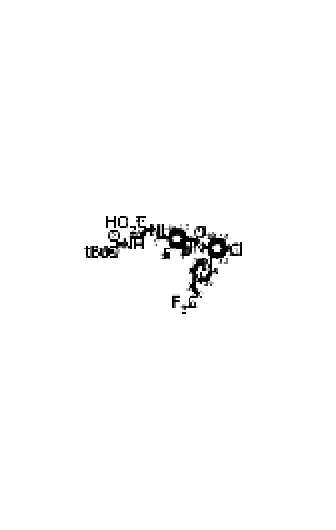 CC(C)(C)OC(=O)NCC[C@H](NCc1ccc(C(=O)Nc2ccc(Cl)cc2N2CCN(CCC(F)(F)F)CC2)c(F)c1F)C(=O)O